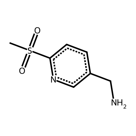 CS(=O)(=O)c1ccc(CN)cn1